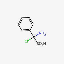 NC(Cl)(c1ccccc1)S(=O)(=O)O